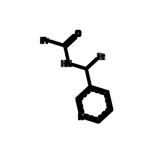 CCC(NC(=O)C(C)C)c1cccnc1